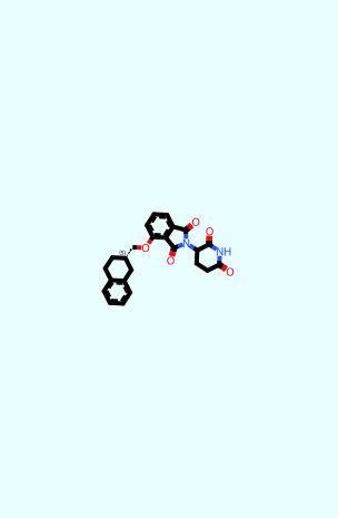 O=C1CCC(N2C(=O)c3cccc(OC[C@H]4CCc5ccccc5C4)c3C2=O)C(=O)N1